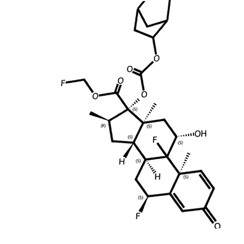 C[C@@H]1C[C@H]2[C@@H]3C[C@H](F)C4=CC(=O)C=C[C@]4(C)C3(F)[C@@H](O)C[C@]2(C)[C@]1(OC(=O)OC1CC2CCC1C2)C(=O)OCF